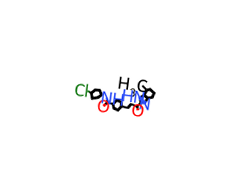 Cc1cccc2nc(C(=O)C=Cc3ccc(C(=O)Nc4ccc(Cl)cc4)cc3)[nH]c12